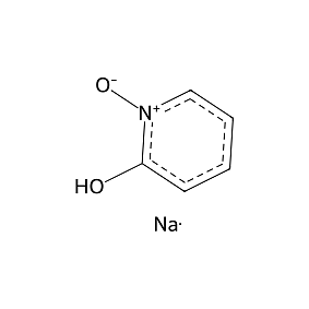 [Na].[O-][n+]1ccccc1O